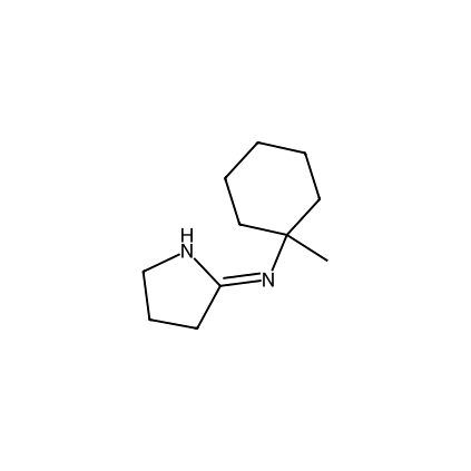 CC1(N=C2CCCN2)CCCCC1